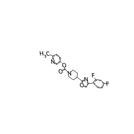 Cc1ccc(OC(=O)N2CCC(c3nc(-c4ccc(F)cc4F)co3)CC2)cn1